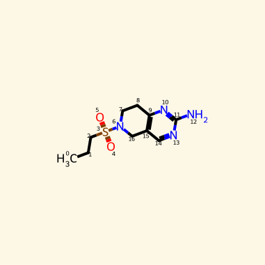 CCCS(=O)(=O)N1CCc2nc(N)ncc2C1